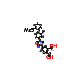 CSc1ccccc1-c1ccc(-c2nc(-c3ccc(CO)c(CO)c3)no2)cc1C